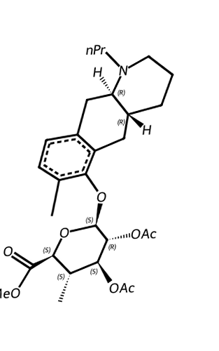 CCCN1CCC[C@@H]2Cc3c(ccc(C)c3O[C@@H]3O[C@H](C(=O)OC)[C@@H](C)[C@H](OC(C)=O)[C@H]3OC(C)=O)C[C@H]21